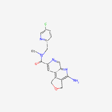 CCN(Cc1ccc(Cl)cn1)C(=O)c1cc2c3c(c(N)nc2cn1)COC3